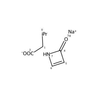 CC(C)CC(=O)[O-].O=C1C=CN1.[Na+]